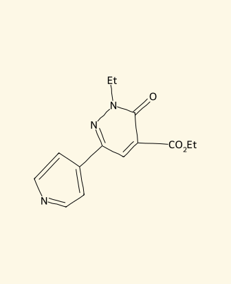 CCOC(=O)c1cc(-c2ccncc2)nn(CC)c1=O